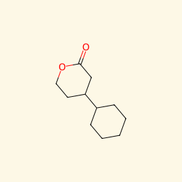 O=C1CC(C2CCCCC2)CCO1